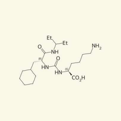 CCC(CC)NC(=O)[C@@H](CC1CCCCC1)NC(=O)N[C@@H](CCCCN)C(=O)O